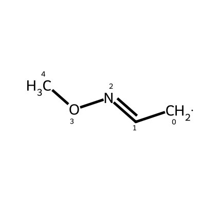 [CH2]C=NOC